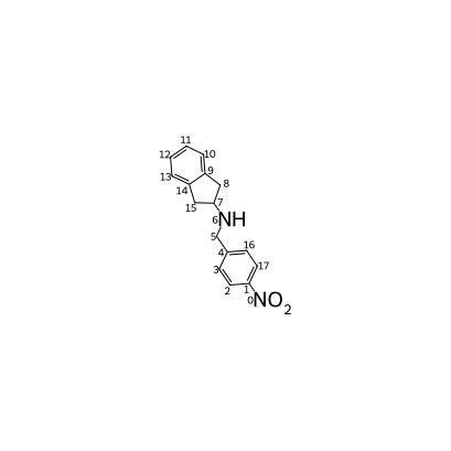 O=[N+]([O-])c1ccc(CNC2Cc3ccccc3C2)cc1